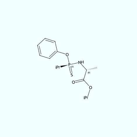 CC(C)OC(=O)[C@@H](C)N[P@](=S)(Oc1ccccc1)C(C)C